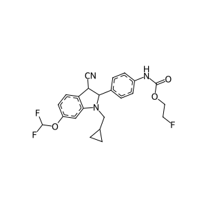 N#CC1c2ccc(OC(F)F)cc2N(CC2CC2)C1c1ccc(NC(=O)OCCF)cc1